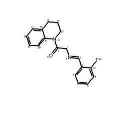 O=C(CN=Cc1ccccc1F)N1CCCc2ccccc21